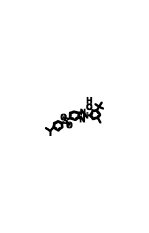 Cc1cc(-n2nc3ccc(S(=O)(=O)c4ccc(C(C)C)cc4)cc3n2)c(O)c(C(C)(C)C)c1